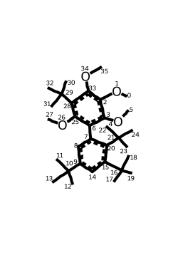 COc1c(OC)c(-c2cc(C(C)(C)C)cc(C(C)(C)C)c2C(C)(C)C)c(OC)c(C(C)(C)C)c1OC